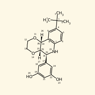 CC(C)(C)c1ccc2c(c1)[C@H]1OCCO[C@H]1[C@H](c1cc(O)cc(O)c1)N2